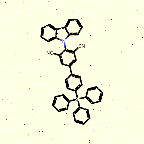 N#Cc1cc(-c2ccc([Si](c3ccccc3)(c3ccccc3)c3ccccc3)cc2)cc(C#N)c1-n1c2ccccc2c2ccccc21